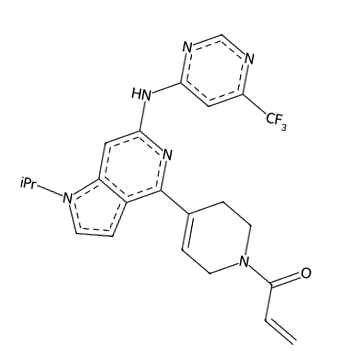 C=CC(=O)N1CC=C(c2nc(Nc3cc(C(F)(F)F)ncn3)cc3c2ccn3C(C)C)CC1